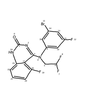 O=c1nc(N(CC(F)F)c2cc(F)cc(Br)c2)c2c(F)cccc2[nH]1